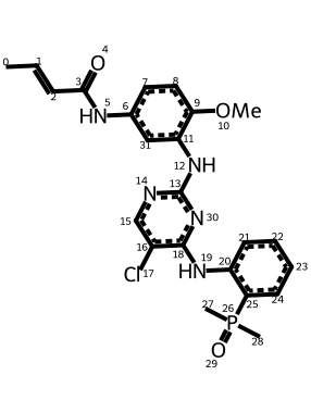 C/C=C/C(=O)Nc1ccc(OC)c(Nc2ncc(Cl)c(Nc3ccccc3P(C)(C)=O)n2)c1